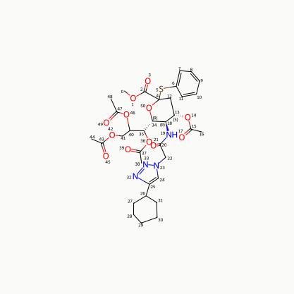 COC(=O)C1(Sc2ccccc2)C[C@H](OC(C)=O)[C@@H](NC(=O)Cn2cc(C3CCCCC3)nn2)[C@H](C(OC(C)=O)C(COC(C)=O)OC(C)=O)O1